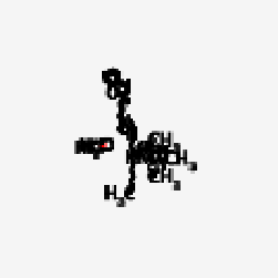 CCCCCCCN(CCN1CCN(CCCSc2nc3ccccc3o2)CC1)C(=O)Nc1c(SC)nc(C)nc1SC.Cl.Cl.O